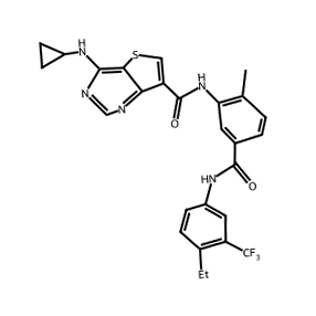 CCc1ccc(NC(=O)c2ccc(C)c(NC(=O)c3csc4c(NC5CC5)ncnc34)c2)cc1C(F)(F)F